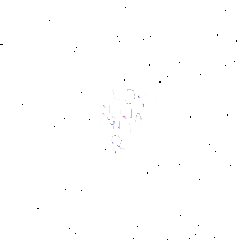 CC(=O)N1CCC(Oc2ccc(N3CCCC3c3csc(NC(=O)c4cccn4Cc4ccnc(F)c4)n3)cc2)CC1